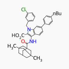 CCCCc1ccc(-c2ccc3c(NC(=O)C45CC6CC(C)(CC(C)(C6)C4)C5)c(C(=O)O)n(Cc4cccc(Cl)c4)c3c2)cc1